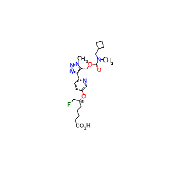 CN(CC1CCC1)C(=O)OCc1c(-c2ccc(O[C@H](CF)CCCCC(=O)O)cn2)nnn1C